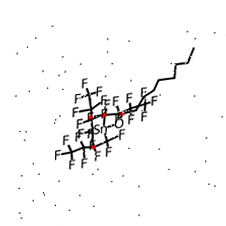 CCCCCCCCC[O][Sn]([C](F)(F)C(F)(F)C(F)(F)C(F)(F)F)([C](F)(F)C(F)(F)C(F)(F)C(F)(F)F)[C](F)(F)C(F)(F)C(F)(F)C(F)(F)F